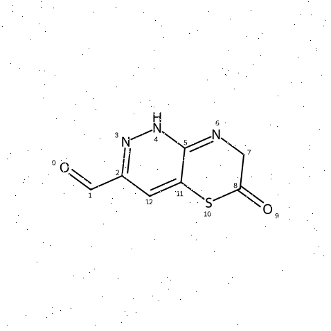 O=CC1=NNC2=NCC(=O)SC2=C1